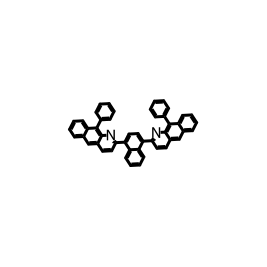 c1ccc(-c2c3ccccc3cc3ccc(-c4ccc(-c5ccc6cc7ccccc7c(-c7ccccc7)c6n5)c5ccccc45)nc23)cc1